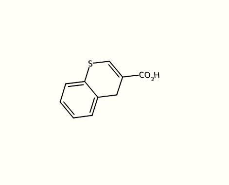 O=C(O)C1=CSc2ccccc2C1